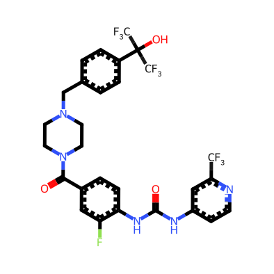 O=C(Nc1ccnc(C(F)(F)F)c1)Nc1ccc(C(=O)N2CCN(Cc3ccc(C(O)(C(F)(F)F)C(F)(F)F)cc3)CC2)cc1F